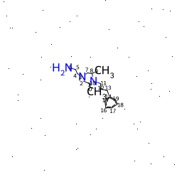 CC1CN(CCN)CC(C)N1CCCc1ccccc1